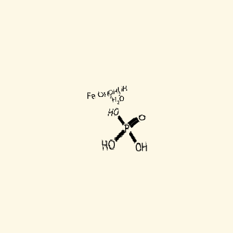 O.O.O.O=P(O)(O)O.[Fe].[LiH]